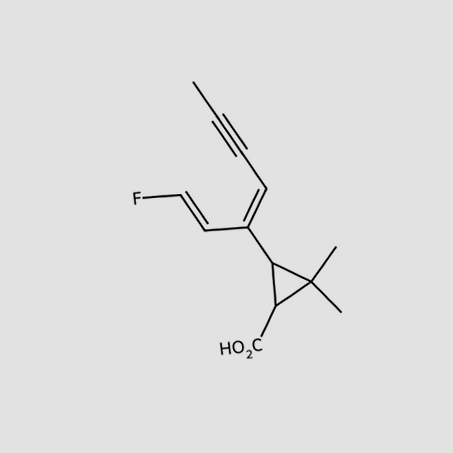 CC#CC=C(C=CF)C1C(C(=O)O)C1(C)C